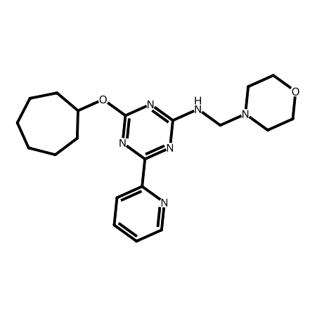 c1ccc(-c2nc(NCN3CCOCC3)nc(OC3CCCCCC3)n2)nc1